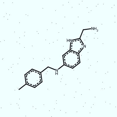 Cc1ccc(CNc2ccc3nc(CN)[nH]c3c2)cc1